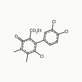 CCOC(=O)c1c(-c2ccc(Cl)c(Cl)c2)c(Cl)c(C)n(C)c1=O